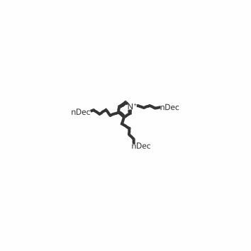 CCCCCCCCCCCCCCc1cc[n+](CCCCCCCCCCCCCC)cc1CCCCCCCCCCCCCC